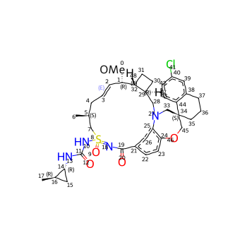 CO[C@H]1/C=C/C[C@H](C)CS(=O)(NC(=O)N[C@@H]2C[C@H]2C)=NC(=O)c2ccc3c(c2)N(C[C@@H]2CC[C@H]21)C[C@@]1(CCCc2cc(Cl)ccc21)CO3